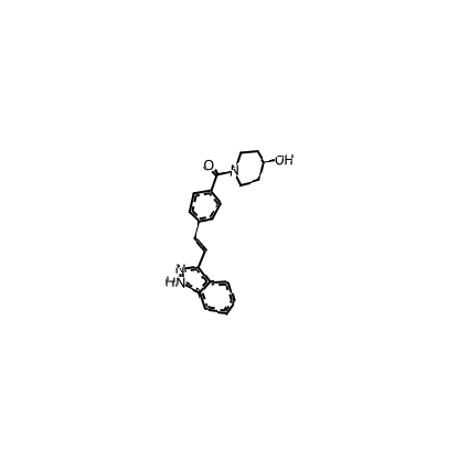 O=C(c1ccc(C=Cc2n[nH]c3ccccc23)cc1)N1CCC(O)CC1